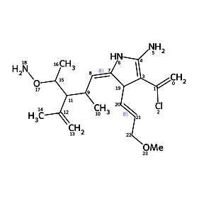 C=C(Cl)C1=C(N)N/C(=C/C(C)C(C(=C)C)C(C)ON)C1/C=C/COC